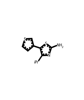 CC(C)c1nc(N)sc1-c1ccsc1